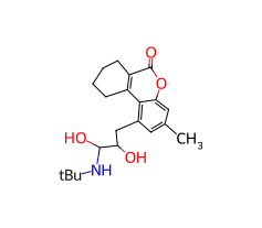 Cc1cc(CC(O)C(O)NC(C)(C)C)c2c3c(c(=O)oc2c1)CCCC3